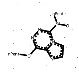 CCCCCOc1nnc([S+]([O-])CCCCC)n2ccnc12